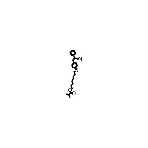 C=C(C)C(=O)OCCCCCCCCOc1ccc(C=C(C#N)c2ccccc2)cc1